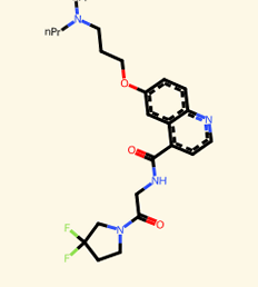 CCCN(CCC)CCCOc1ccc2nccc(C(=O)NCC(=O)N3CCC(F)(F)C3)c2c1